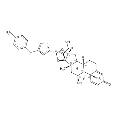 C[C@]12C=CC(=O)C=C1CC[C@@H]1[C@@H]2[C@@H](O)C[C@@]2(C)[C@H]1C[C@H]1O[C@@H](c3cc(Cc4ccc(N)cc4)cs3)O[C@]12C(=O)CO